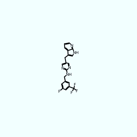 Fc1cc(CNc2ncc(Cc3c[nH]c4ncccc34)cn2)cc(C(F)(F)F)c1